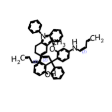 C=C/C=C\C=C/C(c1ccccc1)(c1ccc(N/C=C\C=C)cc1OC)c1c(O)cccc1C1=Cc2c(n(-c3ccccc3)c3ccccc23)CC1